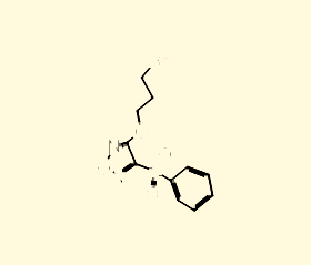 O=S(=O)(c1ccccc1)c1nonc1OCCCBr